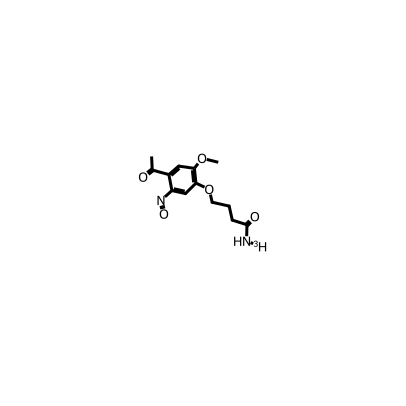 [3H]NC(=O)CCCOc1cc(N=O)c(C(C)=O)cc1OC